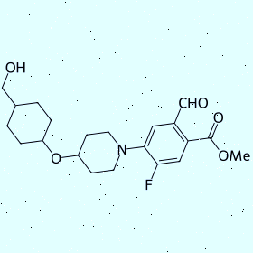 COC(=O)c1cc(F)c(N2CCC(OC3CCC(CO)CC3)CC2)cc1C=O